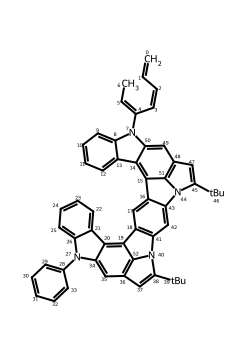 C=C/C=C\C(=C/C)n1c2ccccc2c2c3c4cc5c6c7c8ccccc8n(-c8ccccc8)c7cc7cc(C(C)(C)C)n(c5cc4n4c(C(C)(C)C)cc(cc21)c34)c76